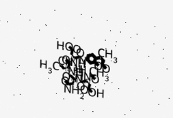 CC(=O)N[C@@H](CC(=O)O)C(=O)N[C@@H](CC(N)=O)C(=O)N[C@@H](CC(C)C)C(=O)N[C@@H](CC(=O)O)C(=O)Nc1ccc2c(C)cc(=O)oc2c1